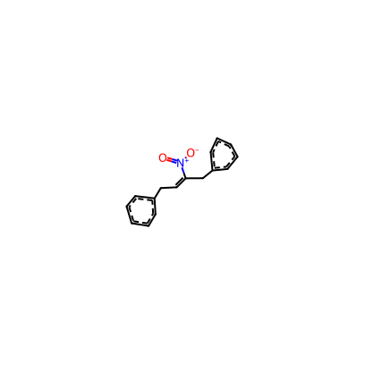 O=[N+]([O-])C(=CCc1ccccc1)Cc1ccccc1